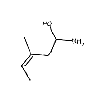 C/C=C(/C)CC(N)O